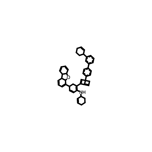 C1=CC2OC3C(C4C=CC(NC5C=CCCC5)=C(C5=CC6(c7ccc(-c8cccc(C9C=CCCC9)c8)cc7)CC=C56)C4)=CC=CC3C2C=C1